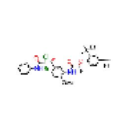 CCC(Oc1ccc(C(C)(C)CC)cc1C(C)(C)CC)C(=O)Nc1cc(C(=O)C(Cl)(Br)C(=O)Nc2ccccc2)ccc1OC